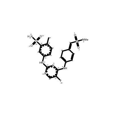 CNS(=O)(=O)C=C1C=CC(Nc2nc(Nc3ccc(C)c(S(N)(=O)=O)c3)ncc2F)=CC1